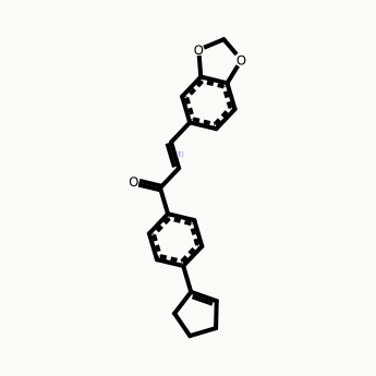 O=C(/C=C/c1ccc2c(c1)OCO2)c1ccc(C2=CCCC2)cc1